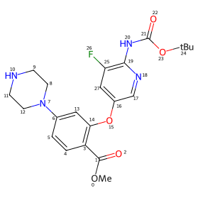 COC(=O)c1ccc(N2CCNCC2)cc1Oc1cnc(NC(=O)OC(C)(C)C)c(F)c1